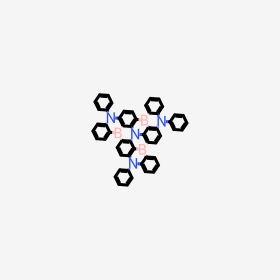 c1ccc(N2c3ccccc3B3c4ccc5c6c4N4c7c(ccc2c73)B2c3ccccc3N(c3ccccc3)c3ccc(c4c32)B6c2ccccc2N5c2ccccc2)cc1